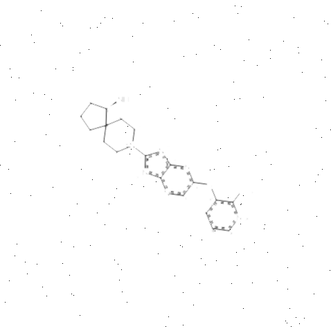 N[C@@H]1CCCC12CCN(c1nc3ncc(Sc4cccnc4C(F)(F)F)nc3[nH]1)CC2